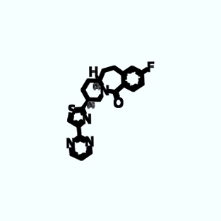 O=C1c2ccc(F)cc2CC[C@@H]2CC[C@H](c3nc(-c4ncccn4)cs3)CN12